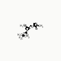 CO[C@H]1CN(C(=O)OC(C)(C)C)C[C@@H]1COc1cnn(C)c1Br